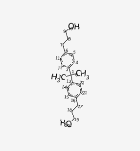 CC(C)(c1ccc(CCCO)cc1)c1ccc(CCCO)cc1